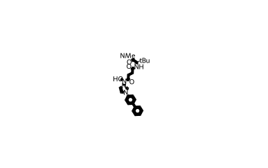 CNC(=O)[C@@H](NC(=O)CCC(=O)N(O)N1C=CN(c2ccc(-c3ccccc3)cc2)C1)C(C)(C)C